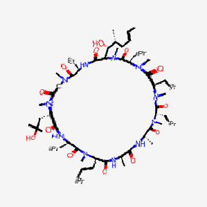 C/C=C/C[C@@H](C)[C@@H](O)C1C(=O)N[C@H](CC)C(=O)N(C)CC(=O)N(C)[C@@H](CC(C)(C)O)C(=O)N[C@H](C(C)C)C(=O)N(C)[C@H](CCC(C)C)C(=O)N[C@H](C)C(=O)N[C@@H](C)C(=O)N(C)[C@@H](CC(C)C)C(=O)N(C)[C@H](CC(C)C)C(=O)N(C)[C@H](C(C)C)C(=O)N1C